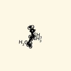 Cc1oc(=O)oc1COC(=O)N(C)C(C)Cc1ccc2c(c1)OCO2